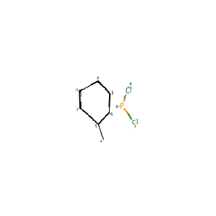 CC1CCCCC1.Cl[P]Cl